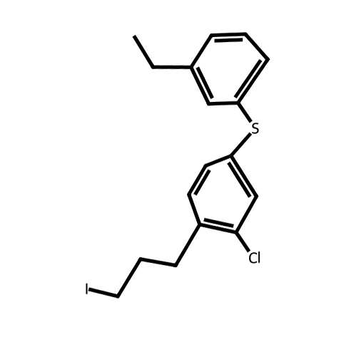 CCc1cccc(Sc2ccc(CCCI)c(Cl)c2)c1